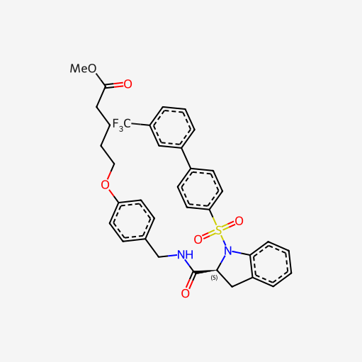 COC(=O)CCCCOc1ccc(CNC(=O)[C@@H]2Cc3ccccc3N2S(=O)(=O)c2ccc(-c3cccc(C(F)(F)F)c3)cc2)cc1